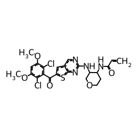 C=CC(=O)NC1CCOCC1Nc1ncc2cc(C(=O)c3c(Cl)c(OC)cc(OC)c3Cl)sc2n1